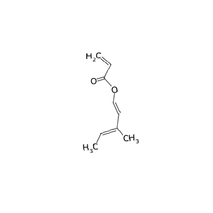 C=CC(=O)OC=CC(C)=CC